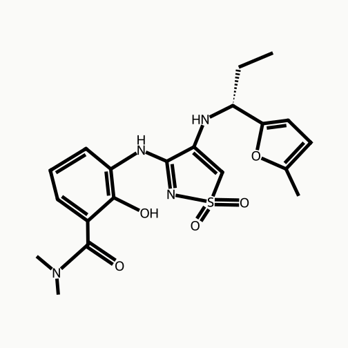 CC[C@@H](NC1=CS(=O)(=O)N=C1Nc1cccc(C(=O)N(C)C)c1O)c1ccc(C)o1